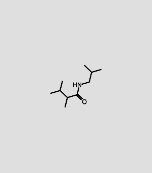 CC(C)CNC(=O)C(C)C(C)C